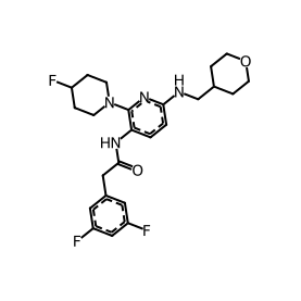 O=C(Cc1cc(F)cc(F)c1)Nc1ccc(NCC2CCOCC2)nc1N1CCC(F)CC1